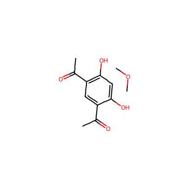 CC(=O)c1cc(C(C)=O)c(O)cc1O.COC